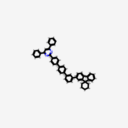 c1ccc(-c2cc(-c3ccccc3)nc(-c3ccc(-c4ccc(-c5cccc(-c6ccc7c(c6)C6(CCCCC6)c6ccccc6-7)c5)cc4)cc3)n2)cc1